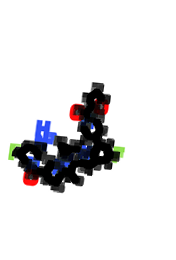 Cc1c(-c2cc3cc(F)cc(C4CCN(C(=O)C5CCCO5)CC4)c3n2CC2CC2)nn2cc(C(=O)N3C[C@H](N)C[C@@H](F)C3)ccc12